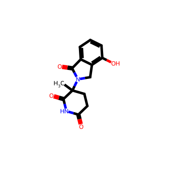 CC1(N2Cc3c(O)cccc3C2=O)CCC(=O)NC1=O